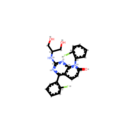 O=c1ccc2c(-c3ccccc3F)nc(NC(CO)CO)nc2n1-c1ccccc1F